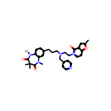 CCN1C(=O)C(C)(C)C(=O)N(C)c2cc(CCCN(CCn3ccc4oc(C)cc4c3=O)Cc3ccncc3)ccc21